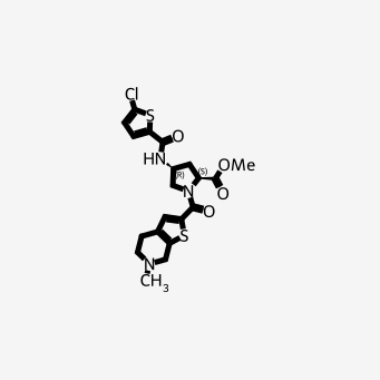 COC(=O)[C@@H]1C[C@@H](NC(=O)c2ccc(Cl)s2)CN1C(=O)c1cc2c(s1)CN(C)CC2